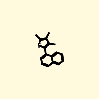 Cc1sc(-c2cccc3ccccc23)c(C)c1C